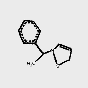 CC(c1ccccc1)N1C=CCS1